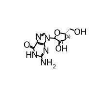 Nc1nc2c(ncn2C2O[C@H](CO)C[C@H]2O)c(=O)[nH]1